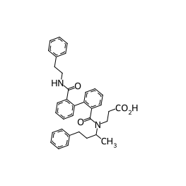 CC(CCc1ccccc1)N(CCC(=O)O)C(=O)c1ccccc1-c1ccccc1C(=O)NCCc1ccccc1